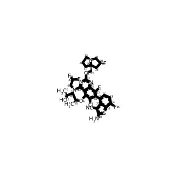 C[C@H](O)[C@H]1[C@H](C)Oc2c(Cl)c(-c3ccc(F)c4sc(N)c(C#N)c34)c(F)c3nc(OC[C@@]45CCCN4C[C@H](F)C5)nc(c23)N1CC(F)F